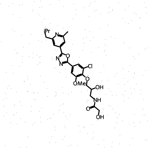 COc1cc(-c2nnc(-c3cc(C)nc(CC(C)C)c3)o2)cc(Cl)c1OCC(O)CNC(=O)CO